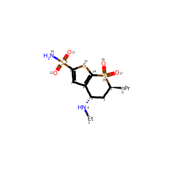 CCC[C@H]1C[C@H](NCC)c2cc(S(N)(=O)=O)sc2S1(=O)=O